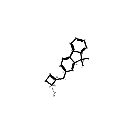 CC1(C)c2ccccc2-c2ccc(CC3=CC[C@H]3Br)cc21